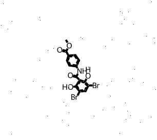 COC(=O)c1ccc(NC(=O)c2c(O)c(Br)cc(Br)c2O)cc1